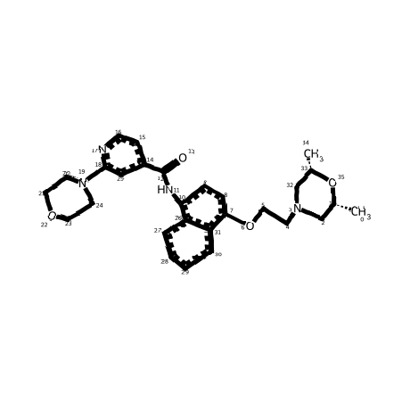 C[C@@H]1CN(CCOc2ccc(NC(=O)c3ccnc(N4CCOCC4)c3)c3ccccc23)C[C@H](C)O1